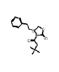 CC(C)(C)CC(=O)N1C(=O)OC[C@@H]1CCc1ccccc1